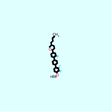 C/C=C/CCC1CCC(c2ccc(-c3ccc(-c4ccc(OCCCC)c(F)c4F)cc3)c(F)c2)OC1